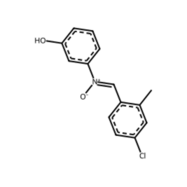 Cc1cc(Cl)ccc1C=[N+]([O-])c1cccc(O)c1